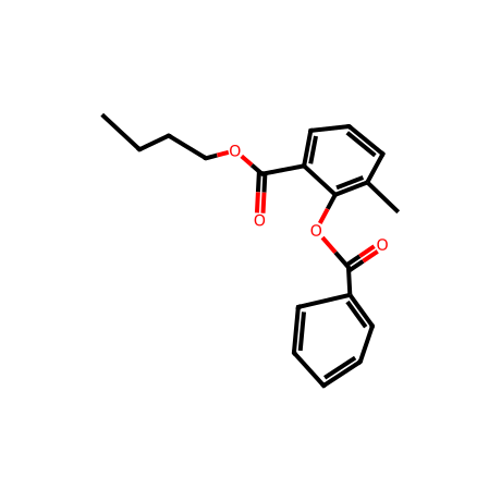 CCCCOC(=O)c1cccc(C)c1OC(=O)c1ccccc1